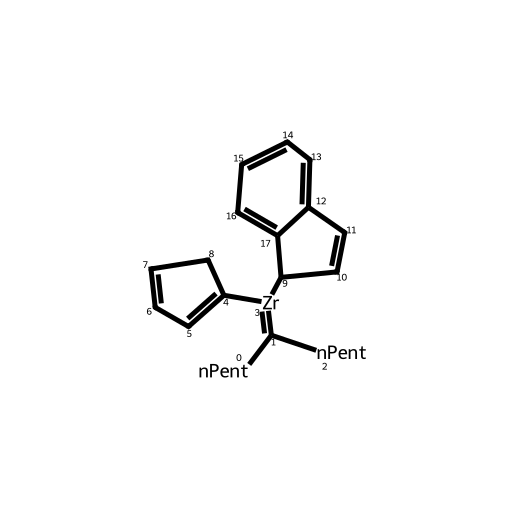 CCCCC[C](CCCCC)=[Zr]([C]1=CC=CC1)[CH]1C=Cc2ccccc21